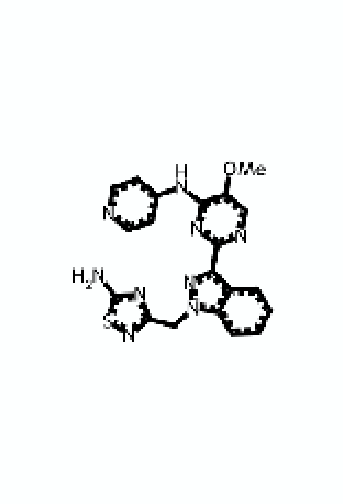 COc1cnc(-c2nn(Cc3nsc(N)n3)c3ccccc23)nc1Nc1ccncc1